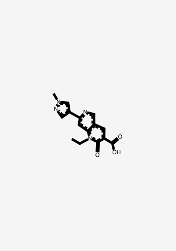 CCn1c(=O)c(C(=O)O)cc2cnc(-c3cnn(C)c3)cc21